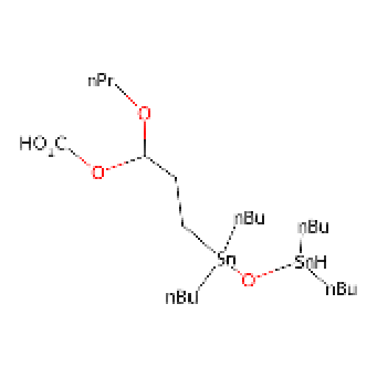 CCC[CH2][SnH]([CH2]CCC)[O][Sn]([CH2]CCC)([CH2]CCC)[CH2]CC(OCCC)OC(=O)O